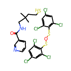 CC(C)(CCS)CNC(=O)c1cccnc1.Clc1cc(Cl)c(SOSc2c(Cl)cc(Cl)cc2Cl)c(Cl)c1